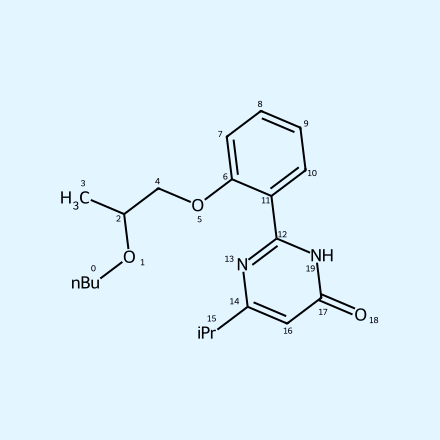 CCCCOC(C)COc1ccccc1-c1nc(C(C)C)cc(=O)[nH]1